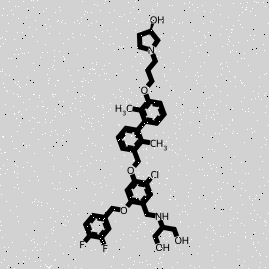 Cc1c(COc2cc(OCc3ccc(F)c(F)c3)c(CNC(CO)CO)cc2Cl)cccc1-c1cccc(OCCCN2CC[C@@H](O)C2)c1C